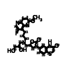 COc1ccc2ncc(F)c(CCCN(CC(O)CO)CC3CN(c4ccc5c(c4)NC(=O)CS5)C(=O)O3)c2n1